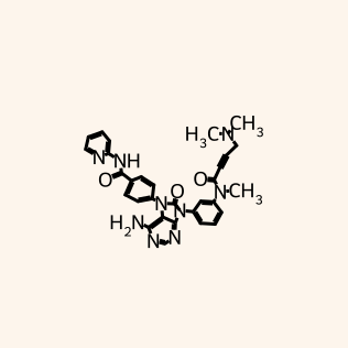 CN(C)CC#CC(=O)N(C)c1cccc(-n2c(=O)n(-c3ccc(C(=O)Nc4ccccn4)cc3)c3c(N)ncnc32)c1